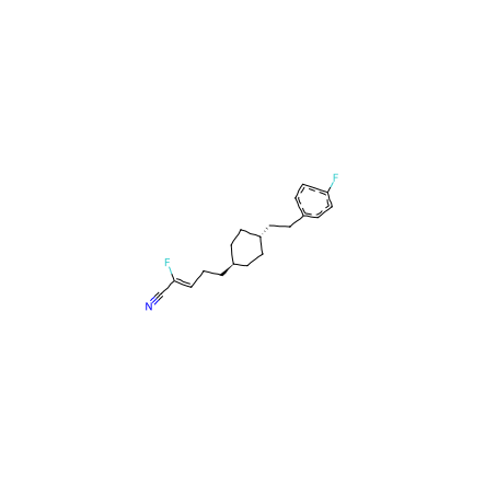 N#CC(F)=CCC[C@H]1CC[C@H](CCc2ccc(F)cc2)CC1